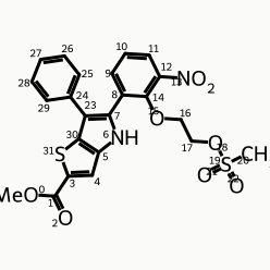 COC(=O)c1cc2[nH]c(-c3cccc([N+](=O)[O-])c3OCCOS(C)(=O)=O)c(-c3ccccc3)c2s1